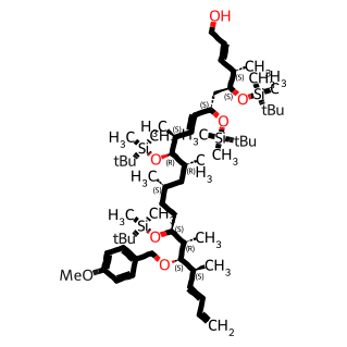 C=CC=C[C@H](C)[C@H](OCc1ccc(OC)cc1)[C@@H](C)[C@H](CC[C@H](C)C[C@@H](C)[C@@H](O[Si](C)(C)C(C)(C)C)[C@@H](C)C=C[C@H](C[C@H](O[Si](C)(C)C(C)(C)C)[C@@H](C)C=CCO)O[Si](C)(C)C(C)(C)C)O[Si](C)(C)C(C)(C)C